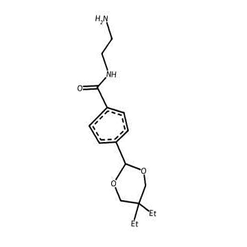 CCC1(CC)COC(c2ccc(C(=O)NCCN)cc2)OC1